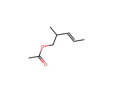 CC=CC(C)COC(C)=O